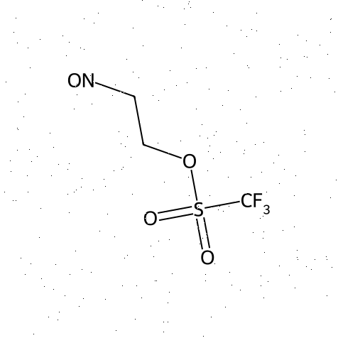 O=NCCOS(=O)(=O)C(F)(F)F